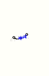 CC(=O)N(CCN1CCN(CCCC(C#N)(c2ccccc2)C(C)C)CC1)Cc1ccccc1